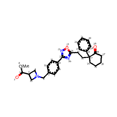 COC(=O)C1CN(Cc2ccc(-c3noc(CCC4(c5ccccc5)CCCCC4=O)n3)cc2)C1